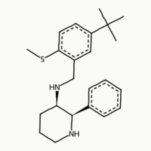 CSc1ccc(C(C)(C)C)cc1CN[C@@H]1CCCN[C@@H]1c1ccccc1